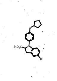 CCOC(=O)C1Cc2cc(Br)ccc2N1c1ccc(OC2CCCC2)cc1